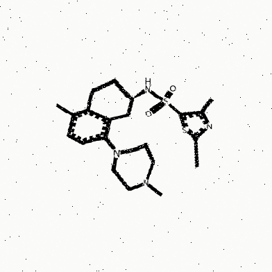 Cc1nc(C)c(S(=O)(=O)N[C@@H]2CCc3c(C)ccc(N4CCN(C)CC4)c3C2)s1